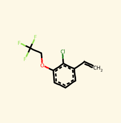 C=[C]c1cccc(OCC(F)(F)F)c1Cl